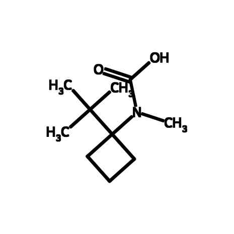 CN(C(=O)O)C1(C(C)(C)C)CCC1